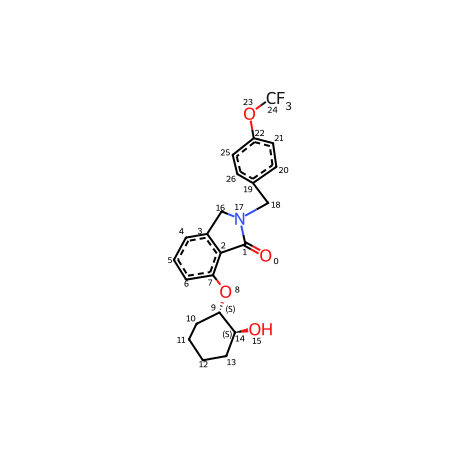 O=C1c2c(cccc2O[C@H]2CCCC[C@@H]2O)CN1Cc1ccc(OC(F)(F)F)cc1